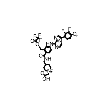 CCc1cc(Nc2nccn3c(-c4ccc(OC)c(F)c4F)cnc23)ccc1C(=O)NCC1CC[N+](C)(CC(=O)O)CC1.O=C([O-])C(F)(F)F